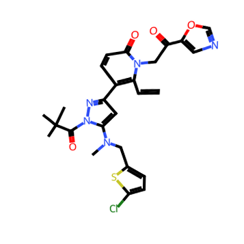 C=Cc1c(-c2cc(N(C)Cc3ccc(Cl)s3)n(C(=O)C(C)(C)C)n2)ccc(=O)n1CC(=O)c1cnco1